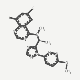 COc1ccc(-n2ncnc2[C@H](C)N(C)c2ncnc3c(I)cc(Cl)cc23)nn1